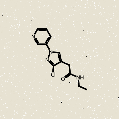 CCNC(=O)Cc1cn(-c2cccnc2)nc1Cl